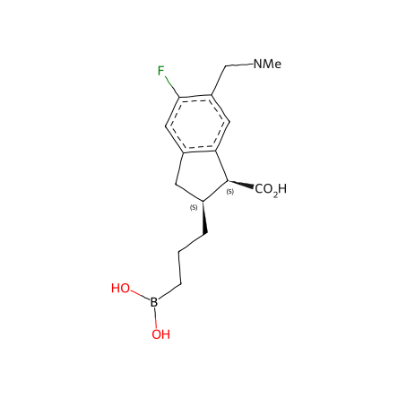 CNCc1cc2c(cc1F)C[C@H](CCCB(O)O)[C@@H]2C(=O)O